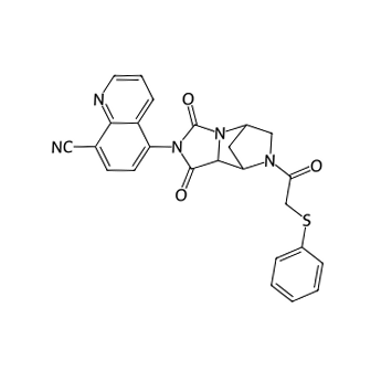 N#Cc1ccc(N2C(=O)C3C4CC(CN4C(=O)CSc4ccccc4)N3C2=O)c2cccnc12